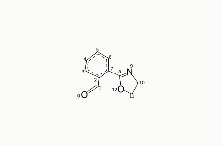 O=Cc1ccccc1C1=NCCO1